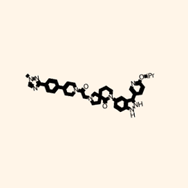 CC(C)Oc1ccc(C2NNc3ccc(N4CCCC5(CCN(CC(=O)N6CC=C(c7ccc(-c8ncn(C)n8)cc7)CC6)C5)C4=O)cc32)cn1